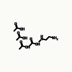 CC(=O)O.CC(=O)O.CC(=O)O.CC(=O)O.CNCCN